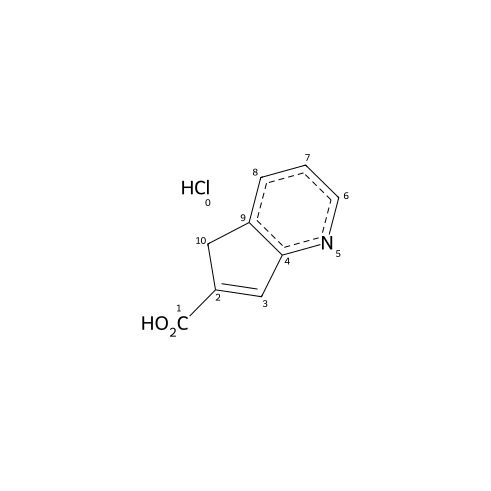 Cl.O=C(O)C1=Cc2ncccc2C1